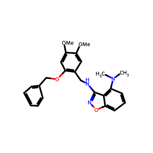 COc1cc(CNc2noc3cccc(N(C)C)c23)c(OCc2ccccc2)cc1OC